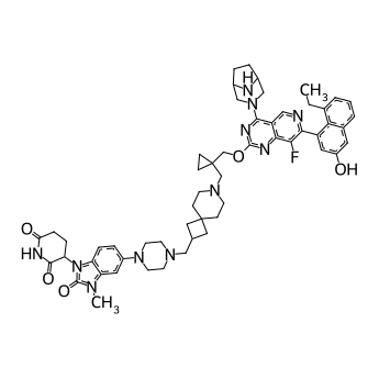 CCc1cccc2cc(O)cc(-c3ncc4c(N5CC6CCC(C5)N6)nc(OCC5(CN6CCC7(CC6)CC(CN6CCN(c8ccc9c(c8)n(C)c(=O)n9C8CCC(=O)NC8=O)CC6)C7)CC5)nc4c3F)c12